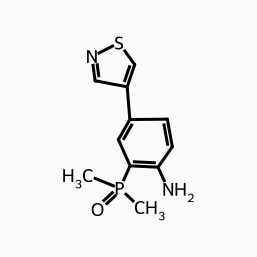 CP(C)(=O)c1cc(-c2cnsc2)ccc1N